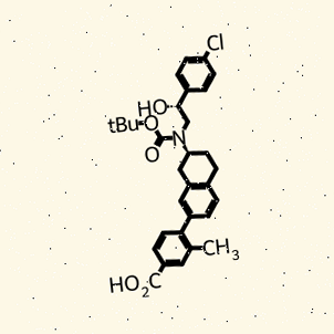 Cc1cc(C(=O)O)ccc1-c1ccc2c(c1)C[C@@H](N(C[C@H](O)c1ccc(Cl)cc1)C(=O)OC(C)(C)C)CC2